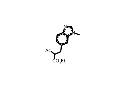 CCOC(=O)C(Cc1ccc2ncn(C)c2c1)C(C)=O